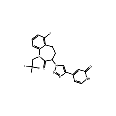 O=C1C(n2cc(-c3cc[nH]c(=O)c3)nn2)CCc2c(F)cccc2N1CC(F)(F)F